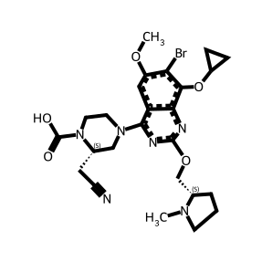 COc1cc2c(N3CCN(C(=O)O)[C@@H](CC#N)C3)nc(OC[C@@H]3CCCN3C)nc2c(OC2CC2)c1Br